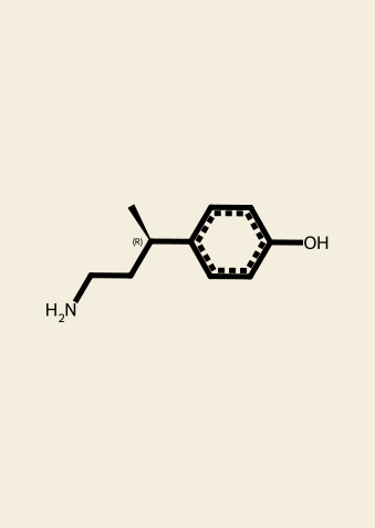 C[C@H](CCN)c1ccc(O)cc1